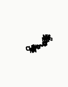 Nc1nc2cc(CCC3CCC(n4ccc5c(Cl)ncnc54)C3)ccc2cc1C(F)(F)F